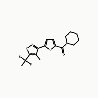 Cc1c(-c2ccc(C(=O)N3CCOCC3)s2)noc1C(C)(F)F